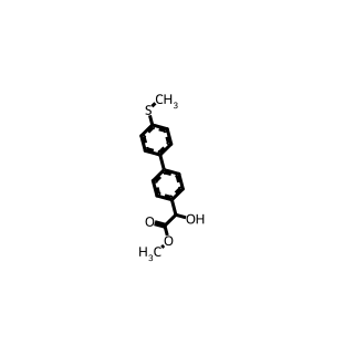 COC(=O)C(O)c1ccc(-c2ccc(SC)cc2)cc1